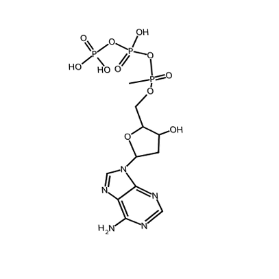 CP(=O)(OCC1OC(n2cnc3c(N)ncnc32)CC1O)OP(=O)(O)OP(=O)(O)O